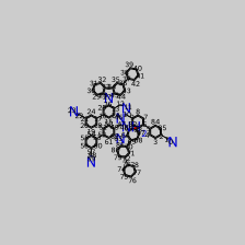 N#Cc1ccc(-c2ccc(C(=N/Cc3ccc(-c4cccc(C#N)c4)cc3-n3c4ccccc4c4cc(-c5ccccc5)ccc43)/N=C(\N)c3ccc(-c4cccc(C#N)c4)cc3-n3c4ccccc4c4cc(-c5ccccc5)ccc43)cc2)cc1